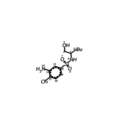 CCC(C)C(CO)NS(=O)(=O)c1ccc(Cl)c(N)c1